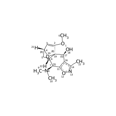 COC1=C[C@H]2C[C@H]3[C@H](N(C)C)c4onc(C)c4[C@H](O)[C@@]13O2